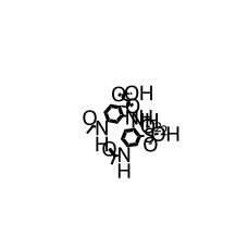 CC(=O)Nc1ccc(N)c(S(=O)(=O)O)c1.CC(=O)Nc1ccc(S(=O)(=O)O)c(N)c1